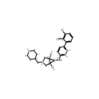 Fc1cccc(-c2ccc(N[C@H]3[C@@H]4CN(CC5CCOCC5)C[C@@H]43)nn2)c1Cl